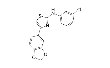 Clc1cccc(Nc2nc(-c3ccc4c(c3)OCO4)cs2)c1